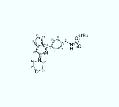 CC(C)(C)OC(=O)NCc1ccc(-c2nc(N3CCOCC3)cn3nccc23)cc1